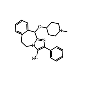 CN1CCC(OC2c3ccccc3CCn3c2nc(-c2ccccc2)c3C#N)CC1